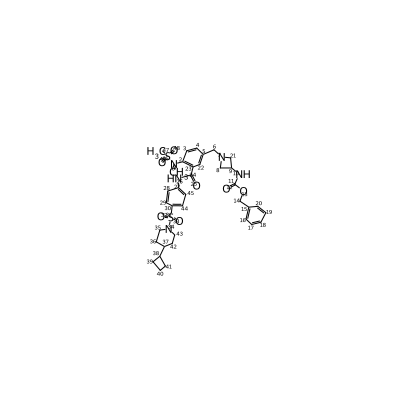 CN(c1ccc(CN2CC(NC(=O)OCc3ccccc3)C2)cc1C(=O)Nc1ccc(S(=O)(=O)N2CCC(C3CCC3)CC2)cc1)S(C)(=O)=O